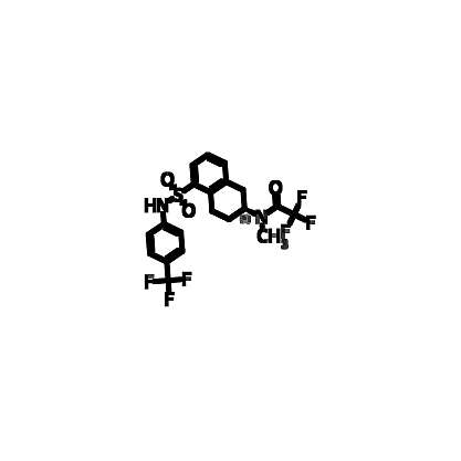 CN(C(=O)C(F)(F)F)[C@H]1CCc2c(cccc2S(=O)(=O)Nc2ccc(C(F)(F)F)cc2)C1